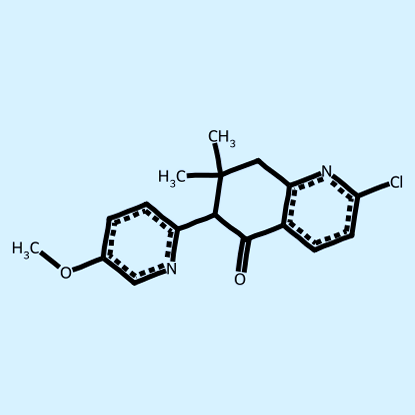 COc1ccc(C2C(=O)c3ccc(Cl)nc3CC2(C)C)nc1